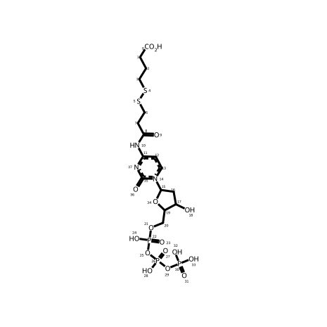 O=C(O)CCCSSCCC(=O)Nc1ccn(C2CC(O)C(COP(=O)(O)OP(=O)(O)OP(=O)(O)O)O2)c(=O)n1